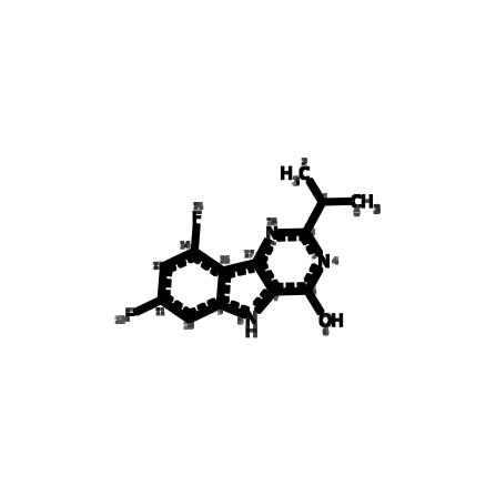 CC(C)c1nc(O)c2[nH]c3cc(F)cc(F)c3c2n1